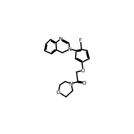 O=C(COc1ccc(F)c(N2C=Nc3ccccc3C2)c1)N1CCOCC1